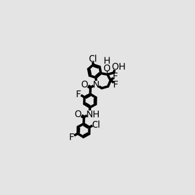 O=C(Nc1ccc(C(=O)N2CCC(F)(F)[C@](O)(CO)c3cc(Cl)ccc32)c(F)c1)c1cc(F)ccc1Cl